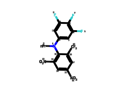 CCCN(c1cc(F)c(F)c(F)c1)c1c([N+](=O)[O-])cc([N+](=O)[O-])cc1C(F)(F)F